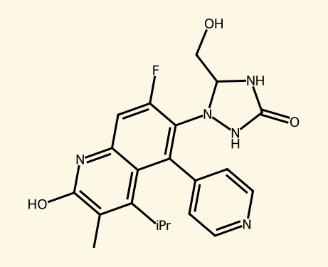 Cc1c(O)nc2cc(F)c(N3NC(=O)NC3CO)c(-c3ccncc3)c2c1C(C)C